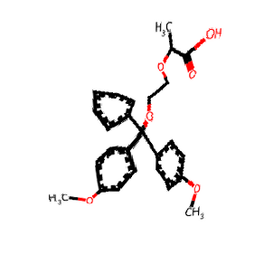 COc1ccc(C(OCCOC(C)C(=O)O)(c2ccccc2)c2ccc(OC)cc2)cc1